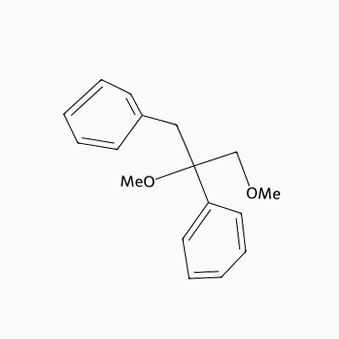 COCC(Cc1ccccc1)(OC)c1ccccc1